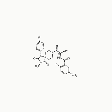 Cc1ccc(F)c(C(=O)N[C@@H](C(=O)N2CCC3(CC2)C(=O)N(C)C(=O)N3c2ccc(Cl)cc2)C(C)C)c1